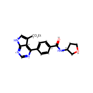 CCOC(=O)c1c[nH]c2ncnc(-c3ccc(C(=O)NC4CCOC4)cc3)c12